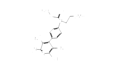 COCCN(C(=O)OC(C)(C)C)c1ccc(-c2c(C#N)c(N)nc(S)c2C#N)cc1